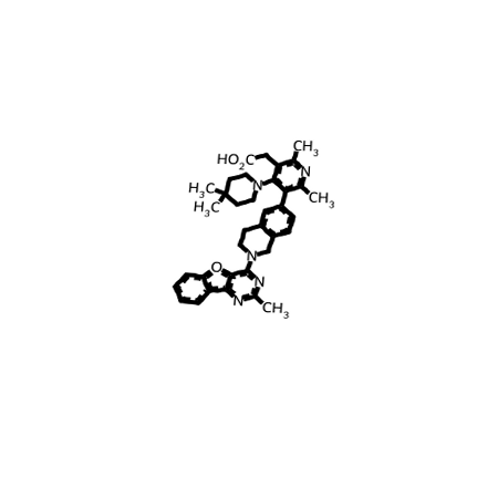 Cc1nc(N2CCc3cc(-c4c(C)nc(C)c(CC(=O)O)c4N4CCC(C)(C)CC4)ccc3C2)c2oc3ccccc3c2n1